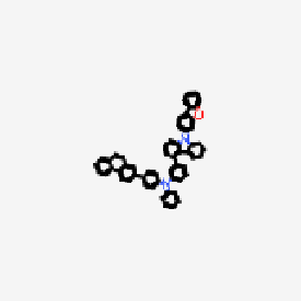 c1ccc(N(c2ccc(-c3ccc4c(ccc5ccccc54)c3)cc2)c2cccc(-c3cccc4c3c3ccccc3n4-c3ccc4c(c3)oc3ccccc34)c2)cc1